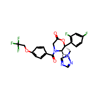 C[C@H]1N(C(=O)c2ccc(OCC(F)(F)F)cc2)CC(=O)O[C@@]1(Cn1cncn1)c1ccc(F)cc1F